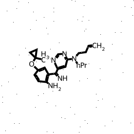 C=CCCN(CCC)c1cc(C(=N)c2cc(OC3(C)CC3)ccc2N)ncn1